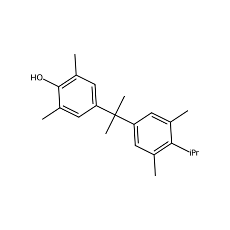 Cc1cc(C(C)(C)c2cc(C)c(C(C)C)c(C)c2)cc(C)c1O